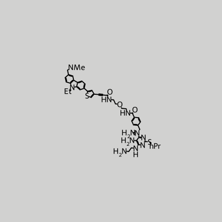 CCCSc1nc(NCCN)c(N)c(N(N)Cc2ccc(C(=O)NCCOCCNC(=O)C#Cc3csc(-c4ccc5c6cc(CNC)ccc6n(CC)c5c4)c3)cc2)n1